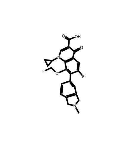 CN1Cc2ccc(-c3c(F)cc4c(=O)c(C(=O)O)cn(C5CC5)c4c3OCF)cc2C1